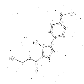 CCOC(=O)c1nnn(-c2ccc(OC)cc2)c1C